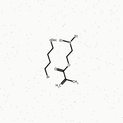 C=C(C)C(=O)OCCN(CC)CC.CCCCCCCCCCCCCCBr